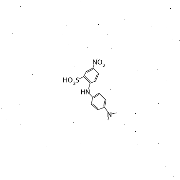 CN(C)c1ccc(Nc2ccc([N+](=O)[O-])cc2S(=O)(=O)O)cc1